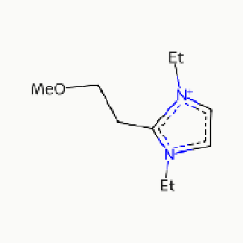 CCn1cc[n+](CC)c1CCOC